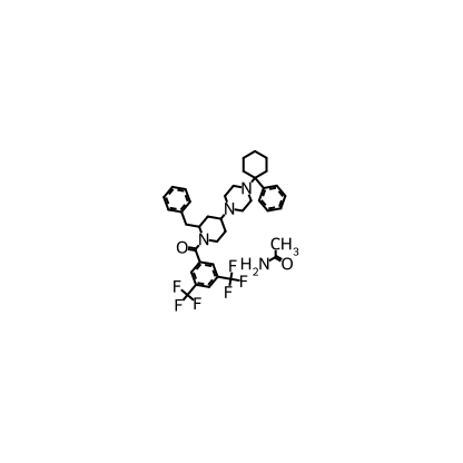 CC(N)=O.O=C(c1cc(C(F)(F)F)cc(C(F)(F)F)c1)N1CCC(N2CCN(C3(c4ccccc4)CCCCC3)CC2)CC1Cc1ccccc1